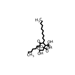 CCCCCCCCCCC(C(=O)CCCCCCC)C(C(=O)O)C(O)(CC(=O)O)C(=O)O